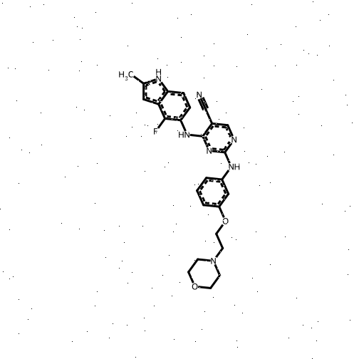 Cc1cc2c(F)c(Nc3nc(Nc4cccc(OCCN5CCOCC5)c4)ncc3C#N)ccc2[nH]1